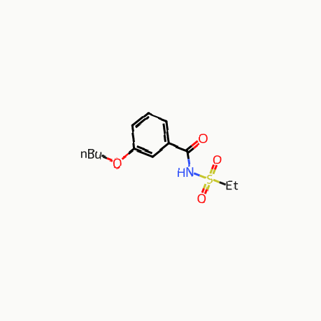 CCCCOc1cccc(C(=O)NS(=O)(=O)CC)c1